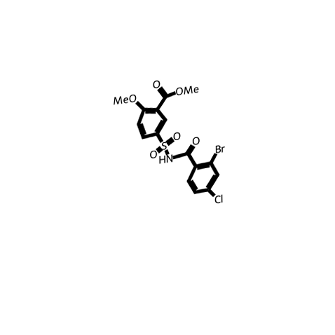 COC(=O)c1cc(S(=O)(=O)NC(=O)c2ccc(Cl)cc2Br)ccc1OC